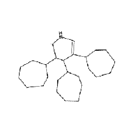 [C]1NC=C(C2CCCCCC2)C(C2CCCCCC2)C1C1CCCCCC1